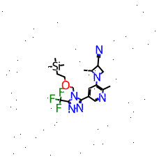 Cc1ncc(-c2nnc(C(F)(F)F)n2COCC[Si](C)(C)C)cc1N1CC(C#N)C1C